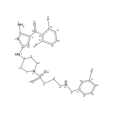 Nc1nc(NC2CCN(S(=O)(=O)CCCNCc3cccc(F)c3)CC2)sc1C(=O)c1c(F)cccc1F